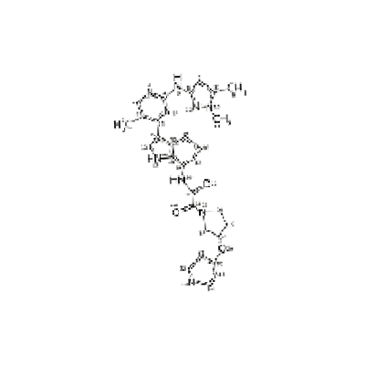 Cc1cnc(Nc2cc(C)n(C)n2)nc1-c1c[nH]c2c(NC(=O)C(=O)N3CC[C@H](Oc4ccncc4)C3)cccc12